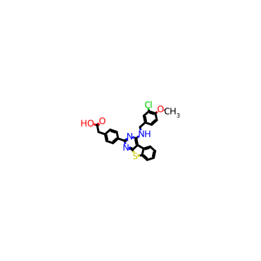 COc1ccc(CNc2nc(-c3ccc(CC(=O)O)cc3)nc3sc4ccccc4c23)cc1Cl